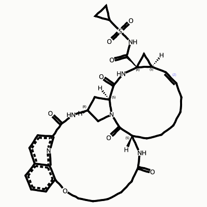 O=C1CCCCCOc2cccc3ccc(nc23)C(=O)N[C@@H]2C[C@H]3C(=O)N[C@]4(C(=O)NS(=O)(=O)C5CC5)C[C@H]4/C=C\CCCCC[C@H](N1)C(=O)N3C2